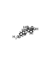 COc1ccc(CC(=O)NC(Cc2cccc(C(=O)O)c2)B(O)O)c(Br)c1